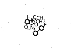 CC(C)(C)NC(=O)C1c2ccccc2OCCN1Cc1ccccc1-c1ccc(F)cc1